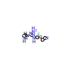 Nc1nc(Nc2ccc(Oc3cccc4cnccc34)c(F)c2)cc(N2C[C@H]3CCCN[C@H]3C2)n1